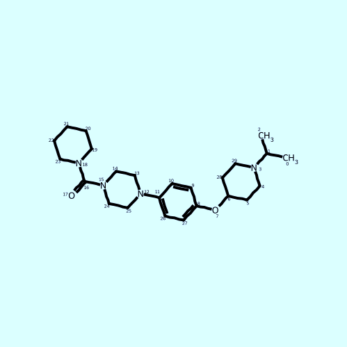 CC(C)N1CCC(Oc2ccc(N3CCN(C(=O)N4CCCCC4)CC3)cc2)CC1